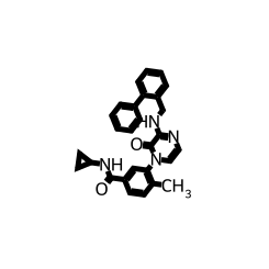 Cc1ccc(C(=O)NC2CC2)cc1-n1ccnc(NCc2ccccc2-c2ccccc2)c1=O